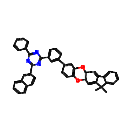 CC1(C)c2ccccc2-c2cc3c(cc21)Oc1ccc(-c2cccc(-c4nc(-c5ccccc5)nc(-c5ccc6ccccc6c5)n4)c2)cc1O3